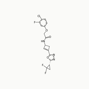 O=C(COc1ccc(Cl)c(F)c1)NC1C=C(c2nnc([C@@H]3CC3(F)F)o2)C1